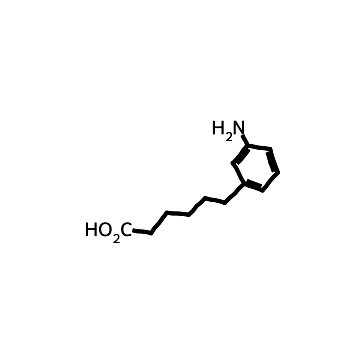 Nc1cccc(CCCCCC(=O)O)c1